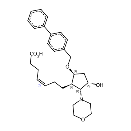 O=C(O)CC/C=C\CC[C@@H]1[C@@H](N2CCOCC2)[C@@H](O)C[C@@H]1OCc1ccc(-c2ccccc2)cc1